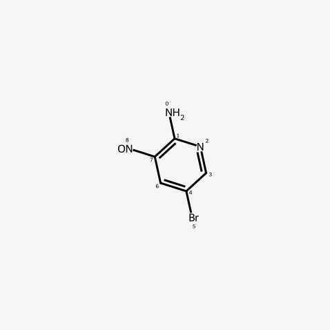 Nc1ncc(Br)cc1N=O